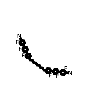 N#Cc1ccc(-c2ccc(-c3ccc(CCCCCCCCCc4ccc(-c5ccc(-c6ccc(C#N)c(F)c6)c(F)c5)c(F)c4)cc3F)cc2F)cc1F